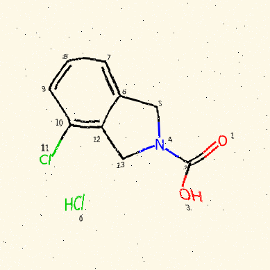 Cl.O=C(O)N1Cc2cccc(Cl)c2C1